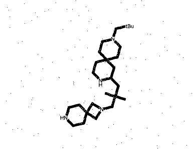 CC(C)(C)CN1CCC2(CCNC(CC(C)(C)CN3CC4(CCNCC4)C3)C2)CC1